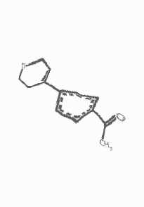 CC(=O)c1ccc(C2=CCOCC2)cc1